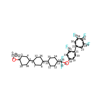 CCCCOC1CCC(C2CCC(C3CCC(C(F)(F)Oc4ccc(-c5cc(F)c(F)c(F)c5)c(F)c4)CC3)CC2)CC1